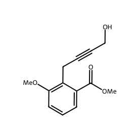 COC(=O)c1cccc(OC)c1CC#CCO